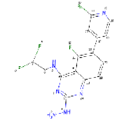 NNc1nc(NCC(F)F)c2c(F)c(-c3ccnc(Br)c3)ccc2n1